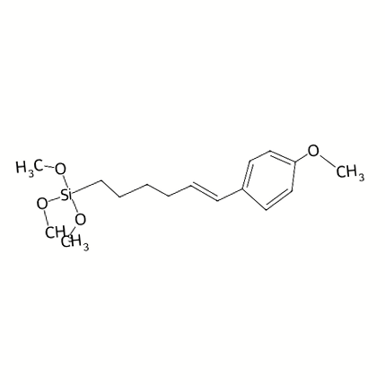 COc1ccc(/C=C/CCCC[Si](OC)(OC)OC)cc1